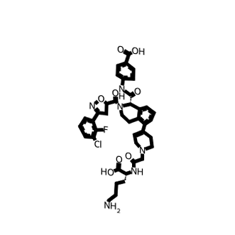 NCCCC[C@@H](NC(=O)CN1CC=C(c2cccc3c2CCN(C(=O)C2CC(c4cccc(Cl)c4F)=NO2)[C@@H]3C(=O)Nc2ccc(C(=O)O)cc2)CC1)C(=O)O